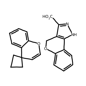 C1=CC2(CCC2)c2ccccc2O1.O=C(O)c1n[nH]c2c1COc1ccccc1-2